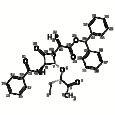 CC(=O)[C@H](CI)O[C@@H]1[C@@H](NC(=O)c2ccccc2)C(=O)N1C(=[PH3])C(=O)OC(c1ccccc1)c1ccccc1